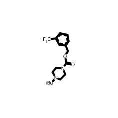 [CH2]CC(C)N1CCN(C(=O)OCc2cccc(C(F)(F)F)c2)CC1